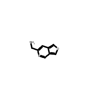 NCc1cc2cocc2cn1